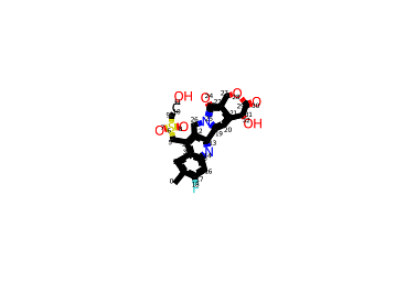 Cc1cc2c(CS(=O)(=O)CCO)c3c(nc2cc1F)-c1cc2c(c(=O)n1C3)COC(=O)C2O